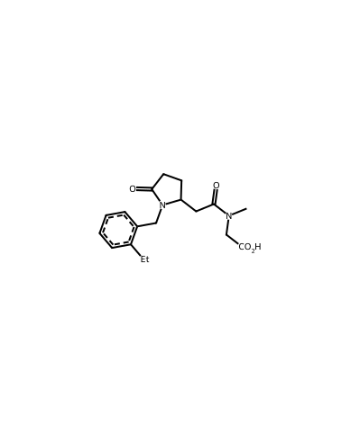 CCc1ccccc1CN1C(=O)CCC1CC(=O)N(C)CC(=O)O